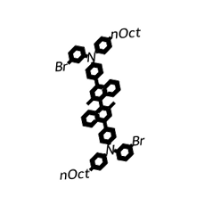 CCCCCCCCc1ccc(N(c2ccc(-c3cc(C)c(-c4c(C)cc(-c5ccc(N(c6ccc(CCCCCCCC)cc6)c6cccc(Br)c6)cc5)c5ccccc45)c4ccccc34)cc2)c2cccc(Br)c2)cc1